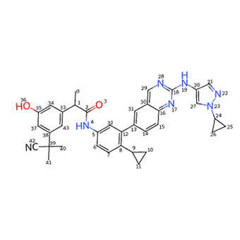 CC(C(=O)Nc1ccc(C2CC2)c(-c2ccc3nc(Nc4cnn(C5CC5)c4)ncc3c2)c1)c1cc(O)cc(C(C)(C)C#N)c1